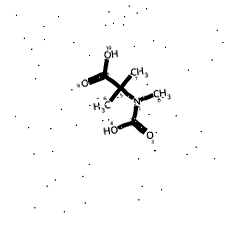 CN(C(=O)O)C(C)(C)C(=O)O